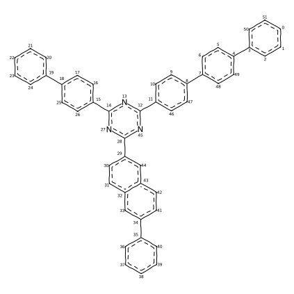 c1ccc(-c2ccc(-c3ccc(-c4nc(-c5ccc(-c6ccccc6)cc5)nc(-c5ccc6cc(-c7ccccc7)ccc6c5)n4)cc3)cc2)cc1